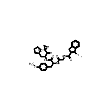 COc1ccc(CC(NC(=O)CNC(=O)C2=C(C)c3ccccc3C2)C(=O)NC(CC2CCCC2)C(=O)C2(C)CO2)cc1